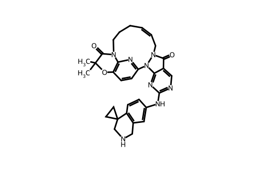 CC1(C)Oc2ccc3nc2N(CCC/C=C\Cn2c(=O)c4cnc(Nc5ccc6c(c5)CNCC65CC5)nc4n2-3)C1=O